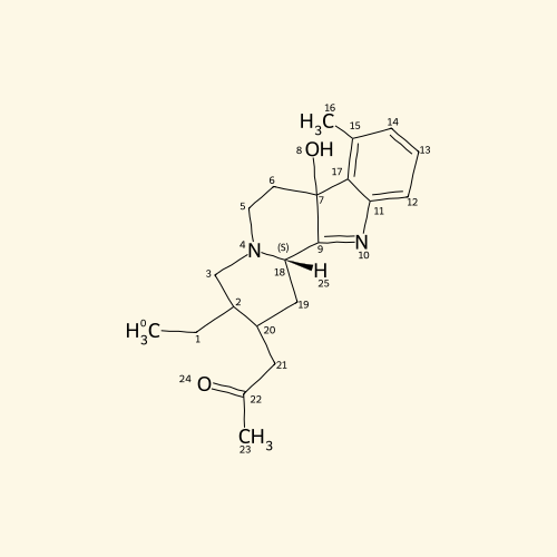 CCC1CN2CCC3(O)C(=Nc4cccc(C)c43)[C@@H]2CC1CC(C)=O